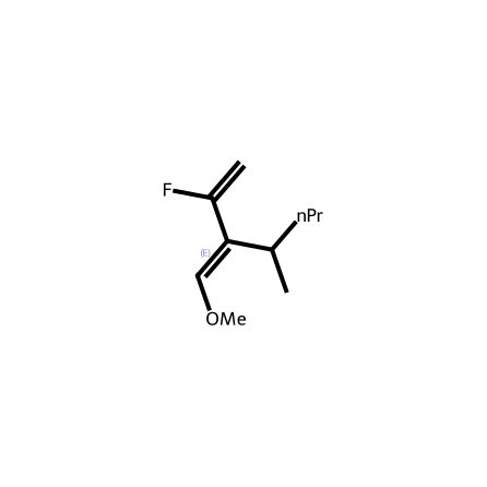 C=C(F)/C(=C/OC)C(C)CCC